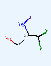 OC[C@H](NI)C(F)F